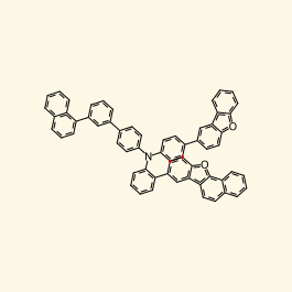 c1cc(-c2ccc(N(c3ccc(-c4ccc5oc6ccccc6c5c4)cc3)c3ccccc3-c3ccc4oc5c6ccccc6ccc5c4c3)cc2)cc(-c2cccc3ccccc23)c1